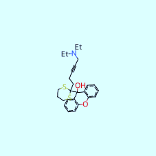 CCN(CC)CC#CCCC1(C2(O)c3ccccc3Oc3ccccc32)SCCCS1